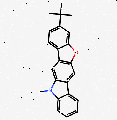 Cn1c2ccccc2c2cc3oc4cc(C(C)(C)C)ccc4c3cc21